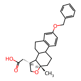 C[C@]12CCC3c4ccc(OCc5ccccc5)cc4CCC3C1[C@@H](CC(=O)O)CO2